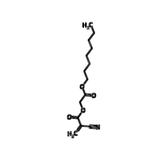 C=C(C#N)C(=O)OCC(=O)OCCCCCCCC